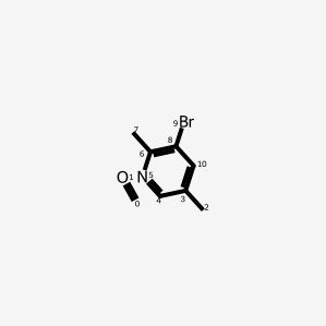 C=O.Cc1cnc(C)c(Br)c1